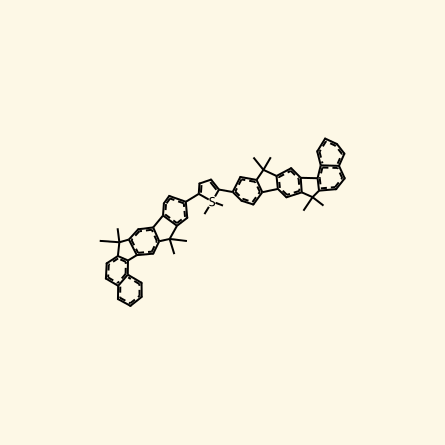 CC1(C)c2cc(C3=CC=C(c4ccc5c(c4)C(C)(C)c4cc6c(cc4-5)C(C)(C)c4ccc5ccccc5c4-6)S3(C)C)ccc2-c2cc3c(cc21)-c1c(ccc2ccccc12)C3(C)C